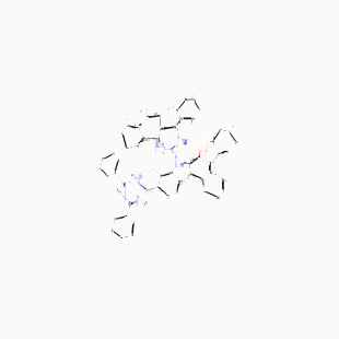 c1ccc(-c2nc(-c3ccccc3)nc(-c3ccc4c5c6ccccc6c6c7ccccc7oc6c5n(-c5nc(-c6ccccc6)c6ccc7ccccc7c6n5)c4c3)n2)cc1